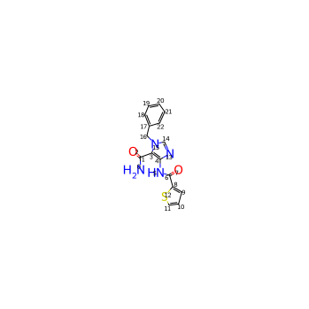 NC(=O)c1c(NC(=O)c2cccs2)ncn1Cc1ccccc1